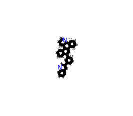 c1cc(-c2cnc3ccccc3c2)cc(-c2cc3c4ccccc4c4ncccc4c3c3ccccc23)c1